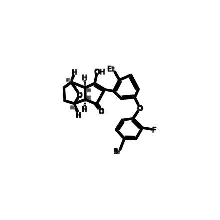 CCc1ccc(Oc2ccc(Br)cc2F)cc1C1=C(O)[C@H]2[C@@H](C1=O)[C@@H]1CC[C@H]2O1